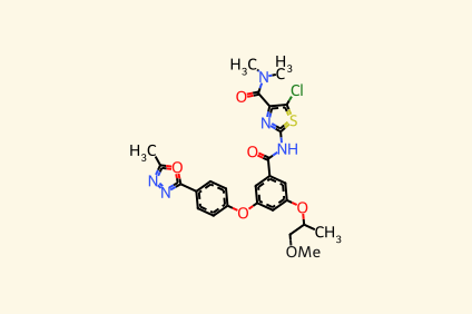 COCC(C)Oc1cc(Oc2ccc(-c3nnc(C)o3)cc2)cc(C(=O)Nc2nc(C(=O)N(C)C)c(Cl)s2)c1